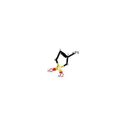 CCC1=CCS(=O)(=O)C1